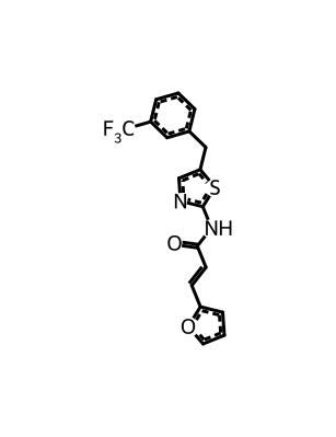 O=C(/C=C/c1ccco1)Nc1ncc(Cc2cccc(C(F)(F)F)c2)s1